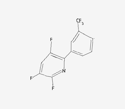 Fc1cc(F)c(-c2cc[c]c(C(F)(F)F)c2)nc1F